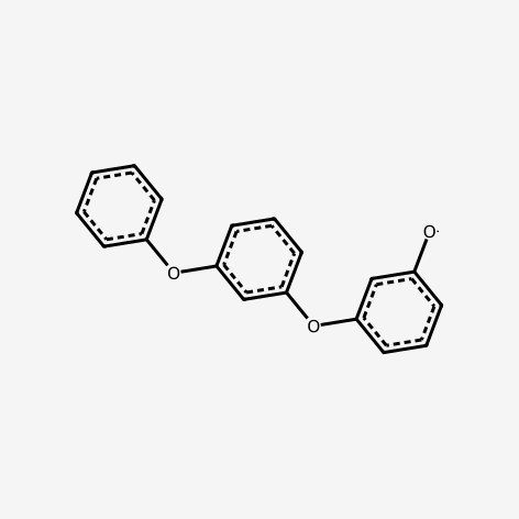 [O]c1cccc(Oc2cccc(Oc3ccccc3)c2)c1